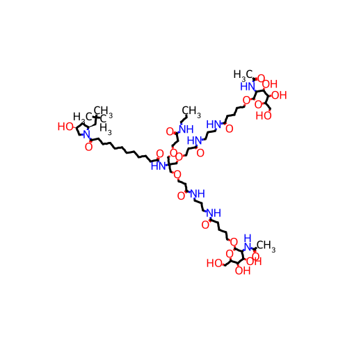 CCCNC(=O)CCOCC(COCCC(=O)NCCCNC(=O)CCCCOC1OC(CO)C(O)C(O)C1NC(C)=O)(COCCC(=O)NCCCNC(=O)CCCCOC1OC(CO)C(O)C(O)C1NC(C)=O)NC(=O)CCCCCCCCCCC(=O)N1C[C@H](O)C[C@H]1CC(C)(C)C